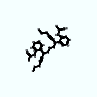 CCCC#CC(CSCC(C#CCCC)c1ccccc1OC(C)=O)c1ccccc1OC(C)=O